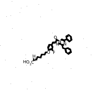 O=C(O)NCCCCCCOc1ccc(/C=C2\N=C3C(Cc4ccccc4)=NC(c4ccccc4)=CN3C2=O)cc1F